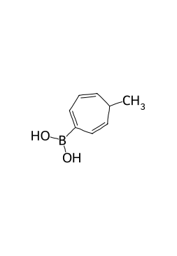 CC1C=CC=C(B(O)O)C=C1